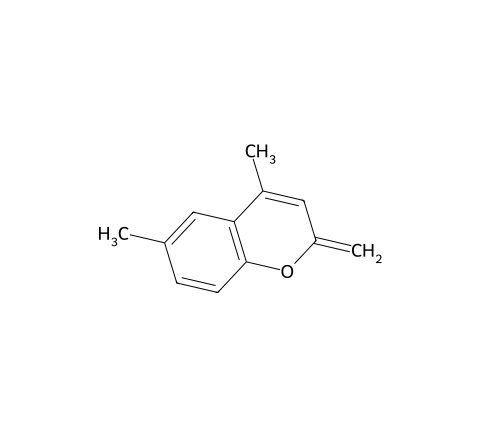 C=C1C=C(C)c2cc(C)ccc2O1